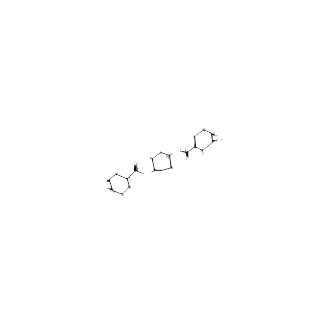 O=C(OC1CCC(OC(=O)C2CCC3OC3C2)CC1)C1CCC2OC2C1